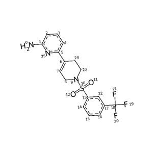 Nc1cccc(C2=CCN(S(=O)(=O)c3cccc(C(F)(F)F)c3)CC2)n1